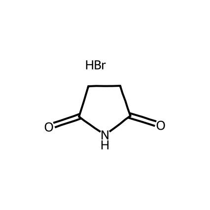 Br.O=C1CCC(=O)N1